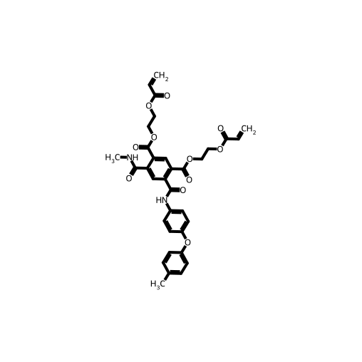 C=CC(=O)OCCOC(=O)c1cc(C(=O)OCCOC(=O)C=C)c(C(=O)Nc2ccc(Oc3ccc(C)cc3)cc2)cc1C(=O)NC